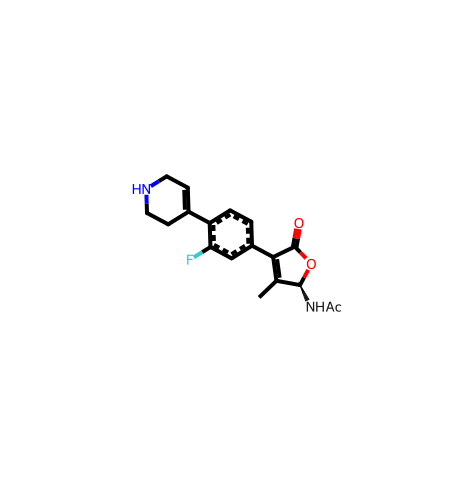 CC(=O)N[C@@H]1OC(=O)C(c2ccc(C3=CCNCC3)c(F)c2)=C1C